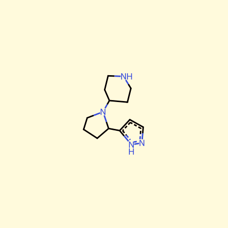 c1cc(C2CCCN2C2CCNCC2)[nH]n1